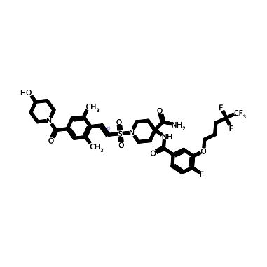 Cc1cc(C(=O)N2CCC(O)CC2)cc(C)c1/C=C/S(=O)(=O)N1CCC(NC(=O)c2ccc(F)c(OCCCC(F)(F)C(F)(F)F)c2)(C(N)=O)CC1